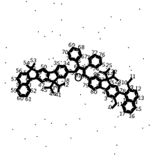 CCc1cc2c(cc1-c1c(CC)ccc3ccccc13)C(C(C)C)(C(C)C)c1cc(-c3oc(-c4ccc5c(c4)C(C(C)C)(C(C)C)c4cc6c(cc4-5)C(C)(C)c4ccc5ccccc5c4-6)c(-c4ccccc4)c3-c3ccccc3)ccc1-2